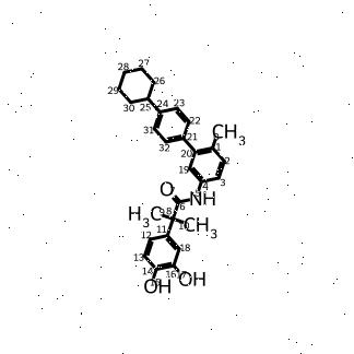 Cc1ccc(NC(=O)C(C)(C)c2ccc(O)c(O)c2)cc1-c1ccc(C2CCCCC2)cc1